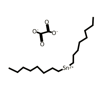 CCCCCCC[CH2][Sn+2][CH2]CCCCCCC.O=C([O-])C(=O)[O-]